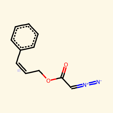 [N-]=[N+]=CC(=O)OC/C=C\c1ccccc1